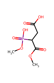 COC(=O)C(CC(=O)O)P(=O)(O)OC